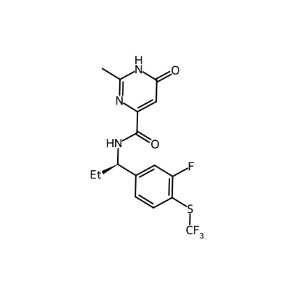 CC[C@@H](NC(=O)c1cc(=O)[nH]c(C)n1)c1ccc(SC(F)(F)F)c(F)c1